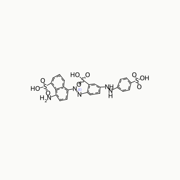 Nc1ccc(/N=N/c2ccc(NNc3ccc(S(=O)(=O)O)cc3)cc2S(=O)(=O)O)c2cccc(S(=O)(=O)O)c12